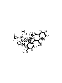 CC(C1CC1)S(=O)(=O)Nc1c(Cl)ccc(C2=C(O)c3ncccc3CS2(=O)=O)c1Cl